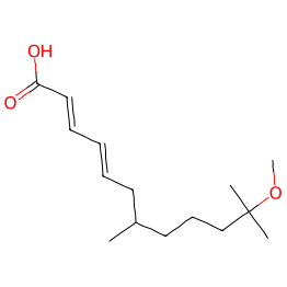 COC(C)(C)CCCC(C)CC=CC=CC(=O)O